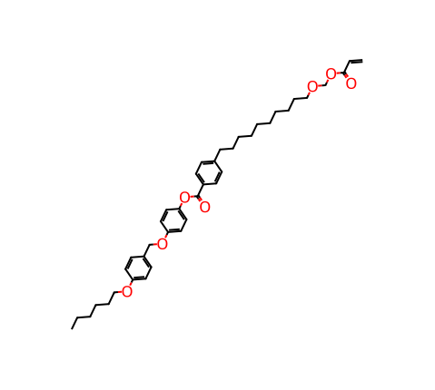 C=CC(=O)OCOCCCCCCCCCCc1ccc(C(=O)Oc2ccc(OCc3ccc(OCCCCCC)cc3)cc2)cc1